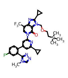 Cn1cnnc1-c1cc(F)ccc1-c1cc(C2CC2)nc(-n2cc(C(F)(F)F)c3nc(C4CC4)n(COCC[Si](C)(C)C)c3c2=O)c1